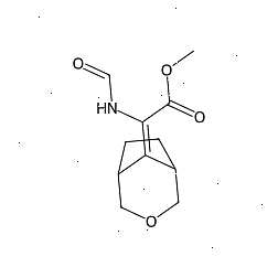 COC(=O)C(NC=O)=C1C2CCC1COC2